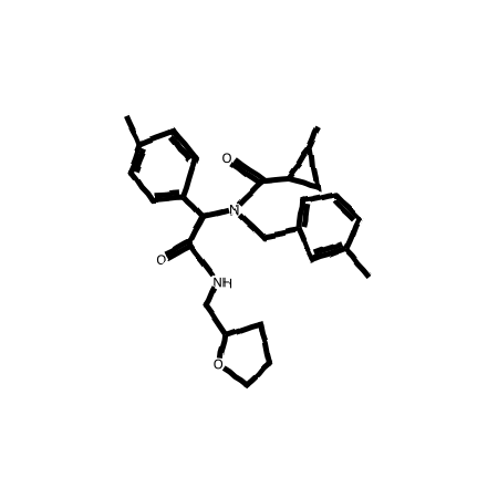 Cc1ccc(C(C(=O)NCC2CCCO2)N(Cc2cccc(C)c2)C(=O)C2CC2C)cc1